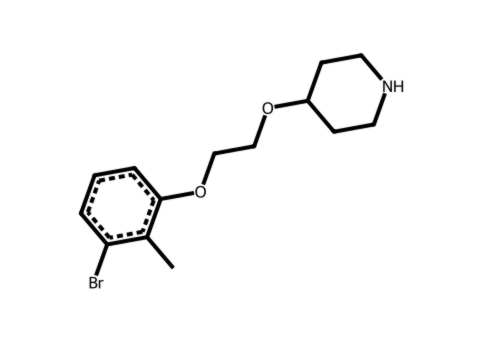 Cc1c(Br)cccc1OCCOC1CCNCC1